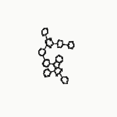 c1ccc(-c2ccc(-c3nc(-c4ccccc4)nc(-c4cccc(-c5cccc(-c6c7ccccc7c7nc(-c8ccccc8)nc(-c8ccccc8)n67)c5)c4)n3)cc2)cc1